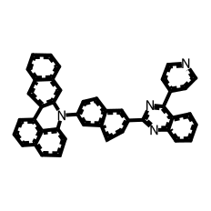 c1ccc2cc3c(cc2c1)-c1cccc2cccc(c12)N3c1ccc2cc(-c3nc(-c4ccncc4)c4ccccc4n3)ccc2c1